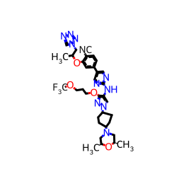 CC(Cn1cnnn1)Oc1cc(-c2cnc(Nc3cn(C4CCC(N5C[C@@H](C)O[C@@H](C)C5)CC4)nc3OCCCOC(F)(F)F)nc2)ccc1C#N